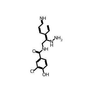 C=CC(/C=C\C=N)=C(/CNC(=O)c1ccc(O)c(Cl)c1)NN